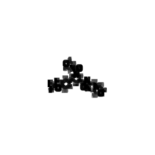 O=C(N1CCOCC1)N1CC(c2ccc(OC(F)(F)F)cc2)CC(c2nc(CN3CCOCC3)no2)C1